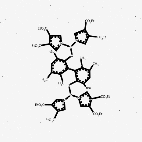 CCOC(=O)c1cn(P(Oc2c(C(C)(C)C)cc(C)c(C)c2-c2c(C)c(C)cc(C(C)(C)C)c2OP(n2cc(C(=O)OCC)c(C(=O)OCC)c2)n2cc(C(=O)OCC)c(C(=O)OCC)c2)n2cc(C(=O)OCC)c(C(=O)OCC)c2)cc1C(=O)OCC